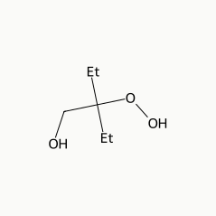 CCC(CC)(CO)OO